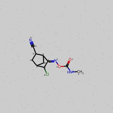 CNC(=O)ON=C1C(Cl)C2CC(C#N)C1C2